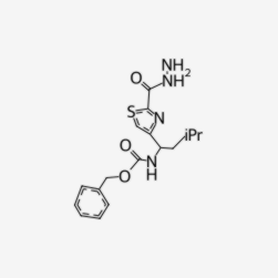 CC(C)CC(NC(=O)OCc1ccccc1)c1csc(C(=O)NN)n1